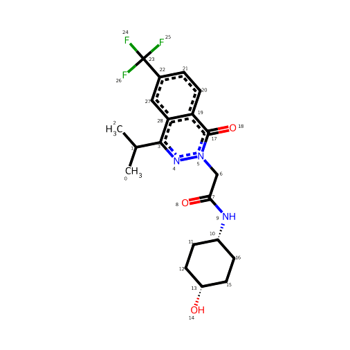 CC(C)c1nn(CC(=O)N[C@H]2CC[C@@H](O)CC2)c(=O)c2ccc(C(F)(F)F)cc12